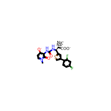 Cn1ccc([O-])c(NC(=O)N[C@@H](CC(=O)[O-])c2cc(-c3ccc(F)cc3F)cs2)c1=O.[Na+].[Na+]